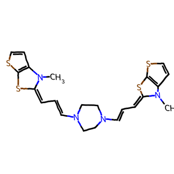 CN1C(=CC=CN2CCN(C=CC=C3Sc4sccc4N3C)CC2)Sc2sccc21